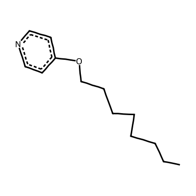 CCCCCCCCOc1ccncc1